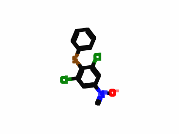 C=[N+]([O-])c1cc(Cl)c(Sc2ccccc2)c(Cl)c1